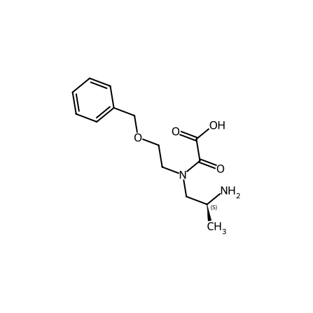 C[C@H](N)CN(CCOCc1ccccc1)C(=O)C(=O)O